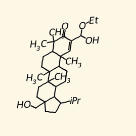 CCOC(O)C1=CC2(C)C(CCC3(C)C2CCC2C4C(C(C)C)CCC4(CO)CCC23C)C(C)(C)C1=O